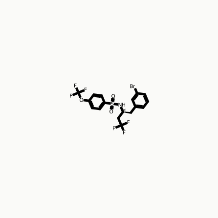 O=S(=O)(N[C@@H](Cc1cccc(Br)c1)CC(F)(F)F)c1ccc(OC(F)(F)F)cc1